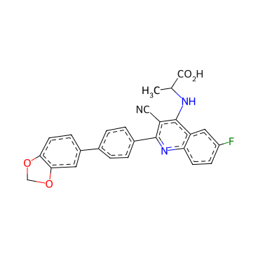 CC(Nc1c(C#N)c(-c2ccc(-c3ccc4c(c3)OCO4)cc2)nc2ccc(F)cc12)C(=O)O